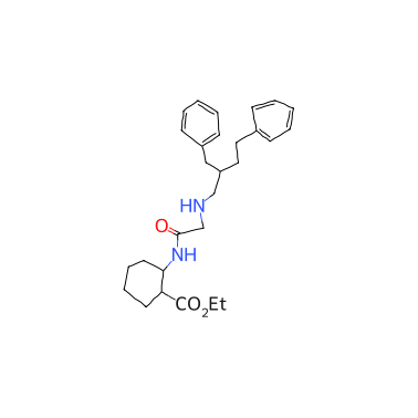 CCOC(=O)C1CCCCC1NC(=O)CNCC(CCc1ccccc1)Cc1ccccc1